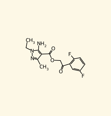 CCn1nc(C)c(C(=O)OCC(=O)c2cc(F)ccc2F)c1N